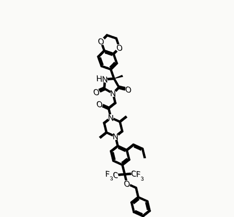 C/C=C\c1cc(C(OCc2ccccc2)(C(F)(F)F)C(F)(F)F)ccc1N1CC(C)N(C(=O)CN2C(=O)N[C@](C)(c3ccc4c(c3)OCCO4)C2=O)CC1C